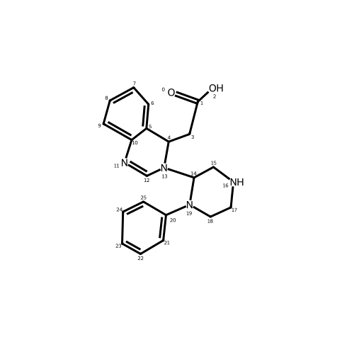 O=C(O)CC1c2ccccc2N=CN1C1CNCCN1c1ccccc1